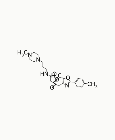 Cc1ccc(-c2nc(CS(=O)(=O)CC(=O)NCCCN3CCN(C)CC3)c(C)o2)cc1